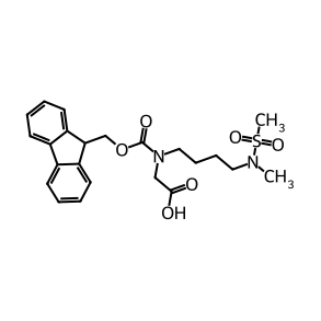 CN(CCCCN(CC(=O)O)C(=O)OCC1c2ccccc2-c2ccccc21)S(C)(=O)=O